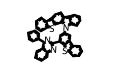 c1ccc(-c2nc(-c3cc(-n4c5ccccc5c5ccc6c7ccccc7sc6c54)cc4c3sc3ccccc34)nc3ccccc23)cc1